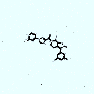 C[C@H]1c2nn(C)c(-c3cc(F)cc(F)c3)c2CCN1C(=O)c1ncn(-c2ccnc(O)c2)n1